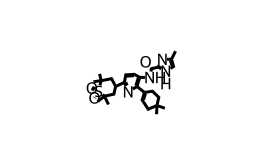 Cc1c[nH]c(C(=O)Nc2ccc(C3CC(C)(C)S(=O)(=O)C(C)(C)C3)nc2C2=CCC(C)(C)CC2)n1